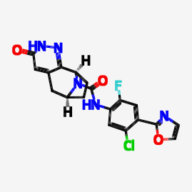 O=C(Nc1cc(Cl)c(-c2ncco2)cc1F)N1[C@H]2CC[C@@H]1c1n[nH]c(=O)cc1C2